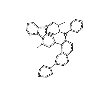 Cc1cc(-c2c(N(c3ccccc3)C3C=CC=CC3C)ccc3ccc(-c4ccccc4)cc23)cc2sc3ccccc3c12